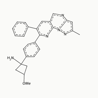 COC1CC(N)(c2ccc(-c3nc4c(cnc5cc(C)nn54)cc3-c3ccccc3)cc2)C1